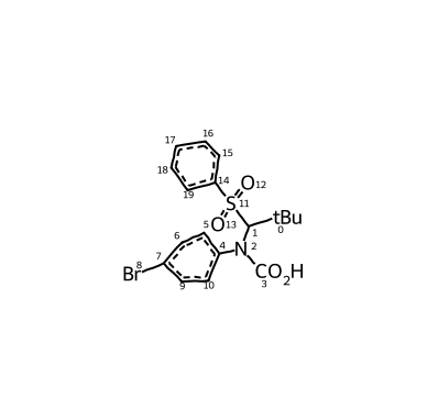 CC(C)(C)C(N(C(=O)O)c1ccc(Br)cc1)S(=O)(=O)c1ccccc1